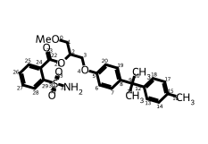 COCC(COc1ccc(C(C)(C)c2ccc(C)cc2)cc1)OC(=O)c1ccccc1S(N)(=O)=O